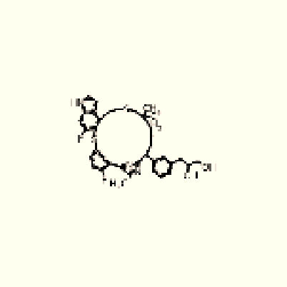 Cn1nc2nc1-c1cc(ccc1F)Sc1c(F)cc3[nH]ccc3c1CCSCC(C)(C)CCCC2c1cccc(CC(O)CO)c1